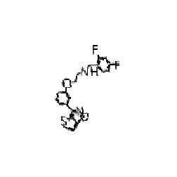 Fc1ccc(CNCCOc2cccc(-c3noc4ccsc34)c2)c(F)c1